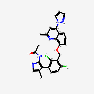 CC(=O)Nc1[nH]cc(C)c1-c1ccc(Cl)c(COc2cccc3c(-n4cccn4)cc(C)nc23)c1Cl